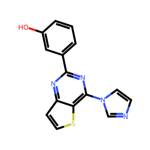 Oc1cccc(-c2nc(-n3ccnc3)c3sccc3n2)c1